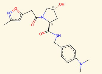 Cc1cc(CC(=O)N2C[C@H](O)C[C@H]2C(=O)NCc2ccc(N(C)C)cc2)on1